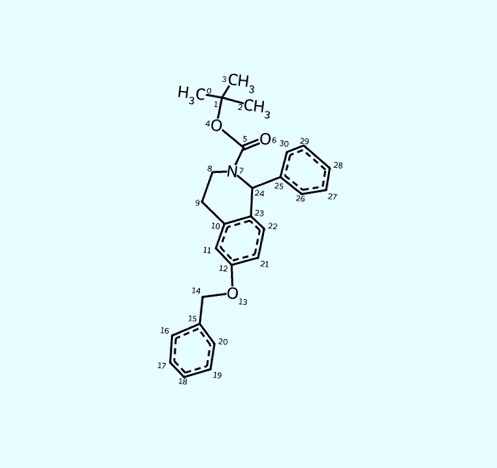 CC(C)(C)OC(=O)N1CCc2cc(OCc3ccccc3)ccc2C1c1ccccc1